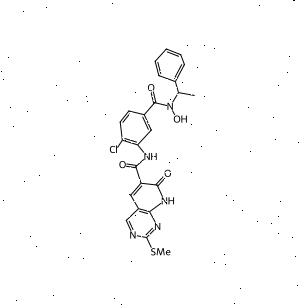 CSc1ncc2cc(C(=O)Nc3cc(C(=O)N(O)C(C)c4ccccc4)ccc3Cl)c(=O)[nH]c2n1